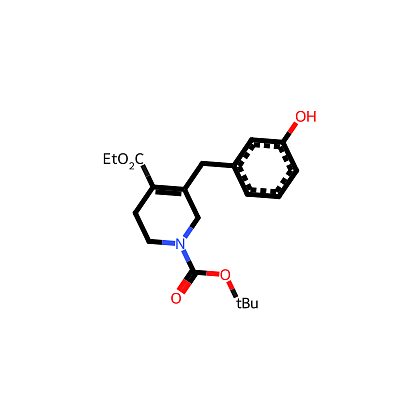 CCOC(=O)C1=C(Cc2cccc(O)c2)CN(C(=O)OC(C)(C)C)CC1